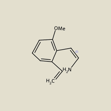 C=Cc1cccc(OC)c1/C=C\N